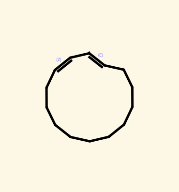 [C]1=C/CCCCCCCCCC\C=C/1